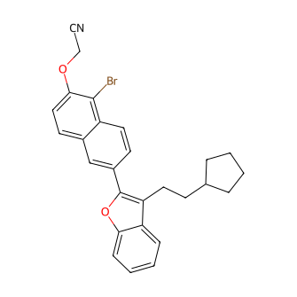 N#CCOc1ccc2cc(-c3oc4ccccc4c3CCC3CCCC3)ccc2c1Br